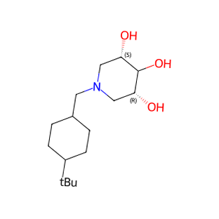 CC(C)(C)C1CCC(CN2C[C@@H](O)C(O)[C@@H](O)C2)CC1